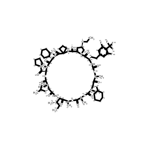 CCO[C@@H]1C[C@H]2C(=O)NC3(CCC3)C(=O)N(C)[C@@H](C3CCCCC3)C(=O)N(C)[C@H](C(=O)N3CCCC3)CC(=O)N(C)[C@@H](CC(C)C)C(=O)N[C@@H]([C@@H](C)CC)C(=O)N(C)CC(=O)N(C)CC(=O)N(C)[C@@H](CC3CCCCC3)C(=O)N(C)CC(=O)N[C@@H](CCc3cc(F)c(C(F)(F)F)c(F)c3)C(=O)N2C1